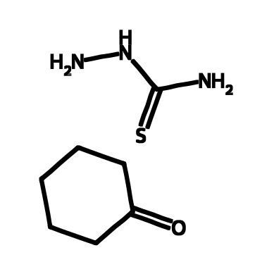 NNC(N)=S.O=C1CCCCC1